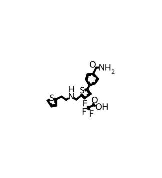 NC(=O)c1ccc(-c2ccc(CNCCc3cccs3)s2)cc1.O=C(O)C(F)(F)F